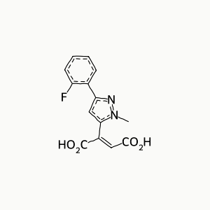 Cn1nc(-c2ccccc2F)cc1/C(=C\C(=O)O)C(=O)O